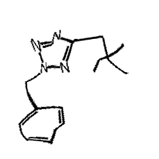 CC(C)(C)Cc1nnn(Cc2ccccc2)n1